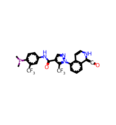 CP(C)c1ccc(NC(=O)c2cnn(-c3cccc4c3C=CNC4=C=O)c2C(F)(F)F)cc1C(F)(F)F